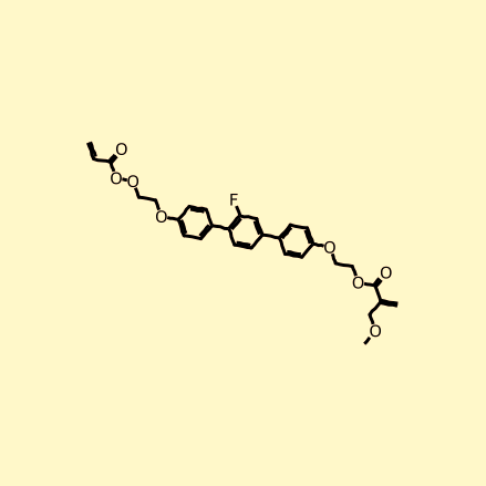 C=CC(=O)OOCCOc1ccc(-c2ccc(-c3ccc(OCCOC(=O)C(=C)COC)cc3)cc2F)cc1